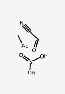 CC(C)=O.N#CC=O.O=S(O)O